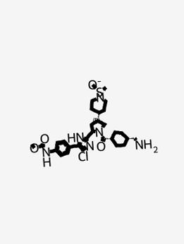 COC(=O)Nc1ccc(-c2[nH]c(C3C[C@H](C4CCN([S+](C)[O-])CC4)CN3C(=O)[C@H]3CC[C@@H](CN)CC3)nc2Cl)cc1